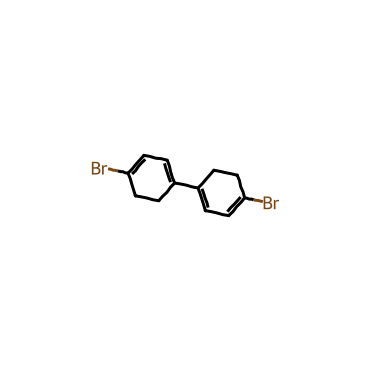 BrC1=CC=C(C2=CC=C(Br)CC2)CC1